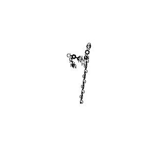 COCCOCCOCCOCCOCCOCCOCCOCCOc1nn([C@H]2CC[C@H](N3CCOCC3)CC2)cc1Nc1ncc(-c2ccc(Cl)c(O[C@@H](C)Cn3cncn3)c2)cn1